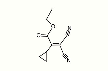 CCOC(=O)C(=C(C#N)C#N)C1CC1